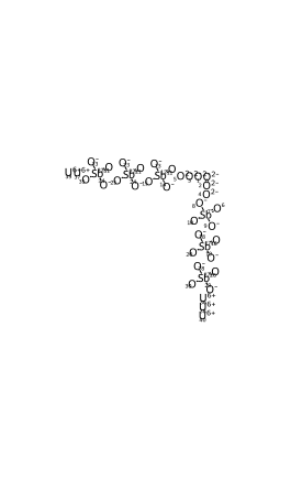 [O-2].[O-2].[O-2].[O-2].[O-2].[O-2].[O]=[Sb]([O-])([O-])[O-].[O]=[Sb]([O-])([O-])[O-].[O]=[Sb]([O-])([O-])[O-].[O]=[Sb]([O-])([O-])[O-].[O]=[Sb]([O-])([O-])[O-].[O]=[Sb]([O-])([O-])[O-].[U+6].[U+6].[U+6].[U+6].[U+6]